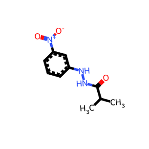 CC(C)C(=O)NNc1cccc([N+](=O)[O-])c1